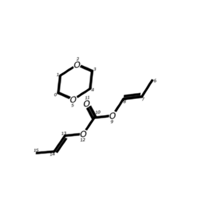 C1COCCO1.CC=COC(=O)OC=CC